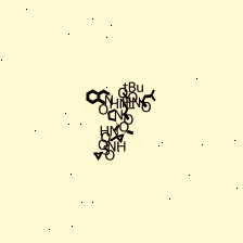 C=C[C@@H]1C[C@]1(NC(=O)[C@@H]1CC(Oc2nccc3ccccc23)CN1C(=O)[C@H](CNC(=O)C=C(C)C)NC(=O)OC(C)(C)C)C(=O)NS(=O)(=O)C1CC1